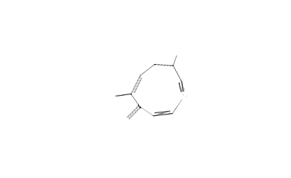 C=C1/C=C\N=C/C(C)C/C=C\1S(=O)(=O)O